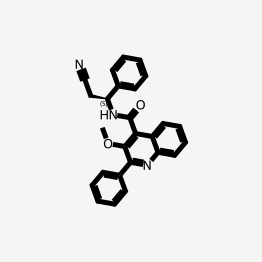 COc1c(-c2ccccc2)nc2ccccc2c1C(=O)N[C@@H](CC#N)c1ccccc1